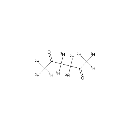 [2H]C([2H])([2H])C(=O)C([2H])([2H])C([2H])([2H])C(=O)C([2H])([2H])[2H]